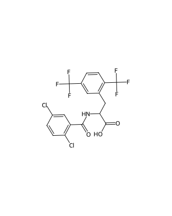 O=C(NC(Cc1cc(C(F)(F)F)ccc1C(F)(F)F)C(=O)O)c1cc(Cl)ccc1Cl